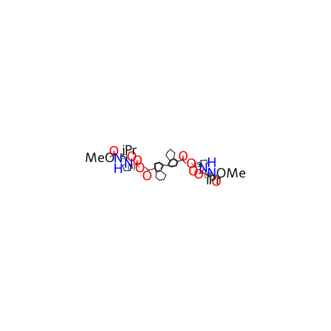 COC(=O)N[C@H](C(=O)N1CCC[C@H]1C(=O)OCC(=O)c1ccc(-c2ccc(C(=O)COC(=O)[C@@H]3CCCN3C(=O)[C@@H](NC(=O)OC)C(C)C)c3c2CCCC3)c2c1CCCC2)C(C)C